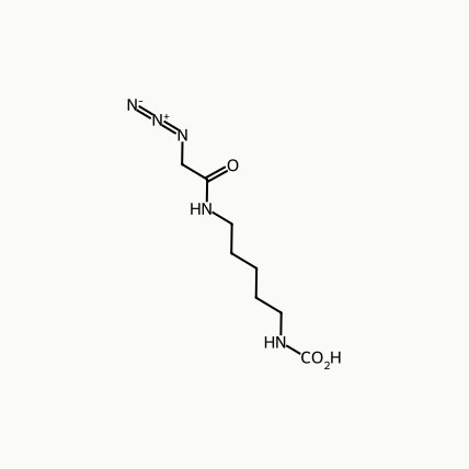 [N-]=[N+]=NCC(=O)NCCCCCNC(=O)O